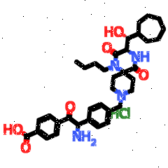 CCCCN1C(=O)[C@@H]([C@H](O)C2CCCCCC2)NC(=O)C12CCN(Cc1ccc(C(N)C(=O)c3ccc(C(=O)O)cc3)cc1)CC2.Cl